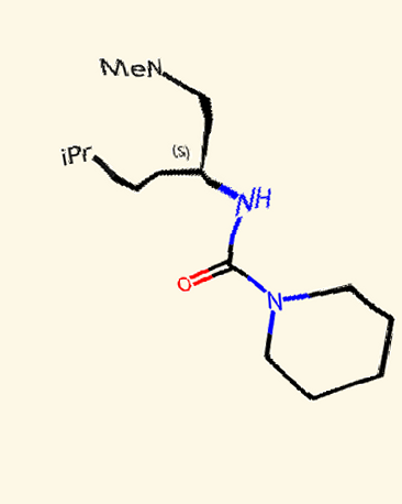 CNC[C@H](CC(C)C)NC(=O)N1CCCCC1